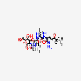 CC(=O)NC1C(O)OC(CO)C(O)C1O[C@H](C)C(=O)N[C@@H](C)C(=O)N[C@H](CCC(=O)C(C)C)C(N)=O